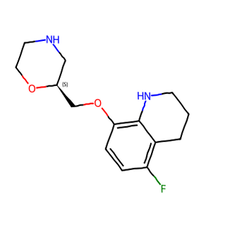 Fc1ccc(OC[C@@H]2CNCCO2)c2c1CCCN2